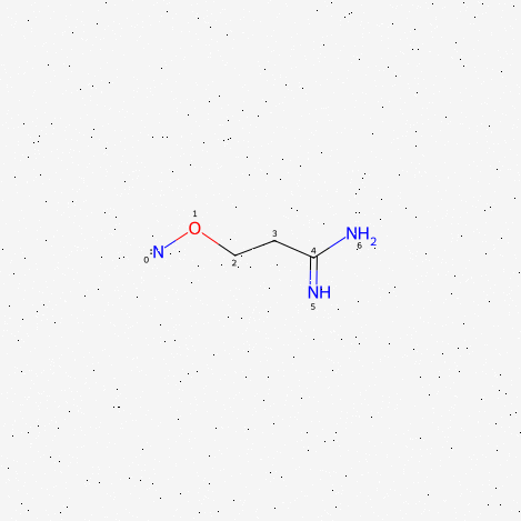 [N]OCCC(=N)N